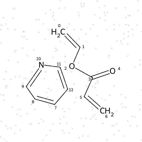 C=COC(=O)C=C.c1ccncc1